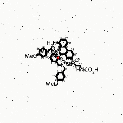 COc1ccc(CN(Cc2ccc(OC)cc2)S(=O)(=O)c2c(S(=O)(=O)CCNC(=O)O)ccc(-c3cccc(N)c3[N+](=O)[O-])c2-c2nnn(Cc3ccc(OC)cc3)n2)cc1